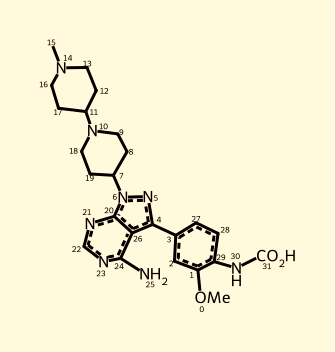 COc1cc(-c2nn(C3CCN(C4CCN(C)CC4)CC3)c3ncnc(N)c23)ccc1NC(=O)O